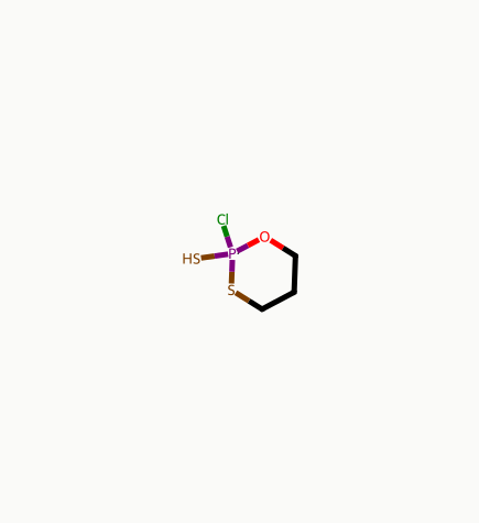 S[P]1(Cl)OCCCS1